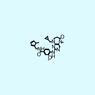 COc1cc(C(=O)NCC2=CC=CC2C)ccc1Nc1ncc2c(n1)N(CC1CC1)CCC(=O)N2C